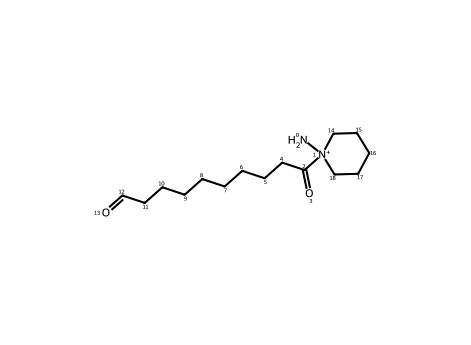 N[N+]1(C(=O)CCCCCCCCC=O)CCCCC1